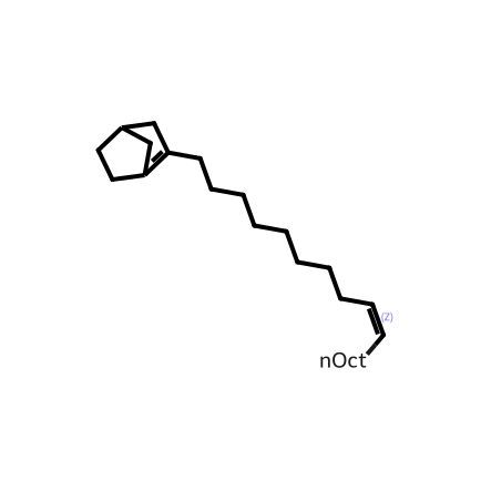 CCCCCCCC/C=C\CCCCCCCCC1=C2CCC(C1)C2